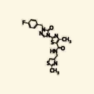 Cc1nc(CNC(=O)c2sc(-n3cnn(Cc4ccc(F)cc4)c3=O)nc2C)cs1